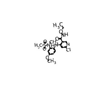 CCONC(=O)c1cnc(Cl)cc1Nc1ccc(OC)cc1N(C)S(C)(=O)=O